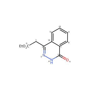 CCOC(=O)Cc1n[nH]c(=O)c2ccccc12